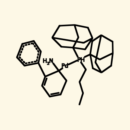 CCCC[PH]([Pd][C]1(N)CC=CC=C1c1ccccc1)(C12CC3CC(CC(C3)C1)C2)C12CC3CC(CC(C3)C1)C2